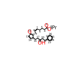 CC(C)OC(=O)CCC/C=C\C[C@H]1C(=O)C=CC1CC[C@@H](O)CCc1ccccc1